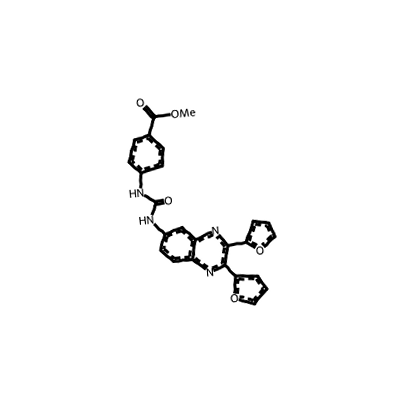 COC(=O)c1ccc(NC(=O)Nc2ccc3nc(-c4ccco4)c(-c4ccco4)nc3c2)cc1